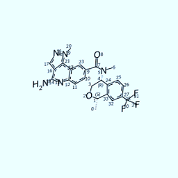 C[C@@H]1OC[C@H](N(C)C(=O)c2ccc3nc(N)c4cnn(C)c4c3c2)c2ccc(C(F)(F)F)cc21